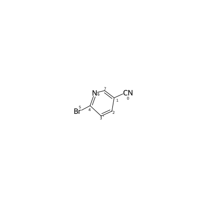 N#Cc1c[c]c(Br)nc1